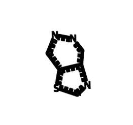 [c]1nc2cnncc2s1